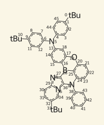 CC(C)(C)c1ccc(N(c2ccc(C(C)(C)C)cc2)c2ccc3c(c2)Oc2cccc4c2B3c2nc3ccc(C(C)(C)C)cn3c2N4c2ccccc2)cc1